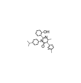 Cc1ccc(-c2c(C)nc(-c3ccccc3O)n(-c3ccc(C(C)C)cc3)c2=O)s1